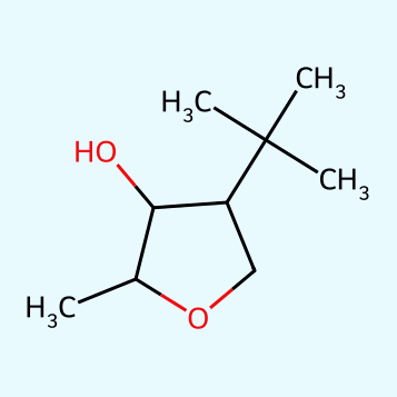 CC1OCC(C(C)(C)C)C1O